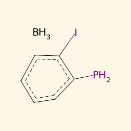 B.Pc1ccccc1I